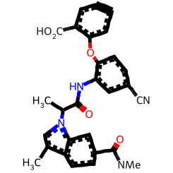 CNC(=O)c1ccc2c(C)cn(C(C)C(=O)Nc3cc(C#N)ccc3Oc3cc#ccc3C(=O)O)c2c1